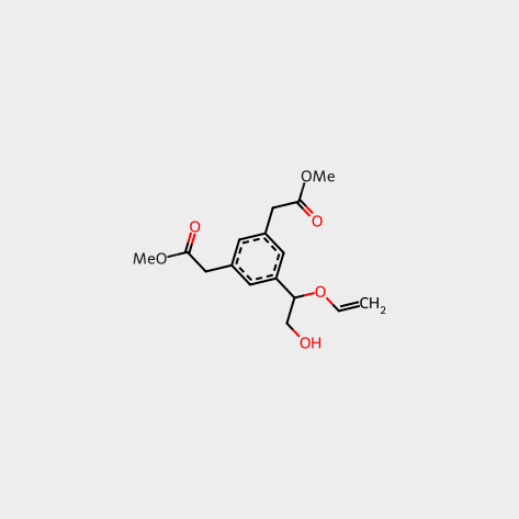 C=COC(CO)c1cc(CC(=O)OC)cc(CC(=O)OC)c1